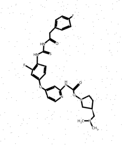 CN(C)C[C@@H]1CCN(OC(=O)Nc2cc(Oc3ccc(NC(=S)NC(=O)Cc4ccc(F)cc4)c(F)c3)ccn2)C1